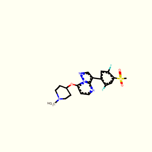 CS(=O)(=O)c1cc(F)c(-c2cnn3c(OC4CCN(C(=O)O)CC4)ccnc23)cc1F